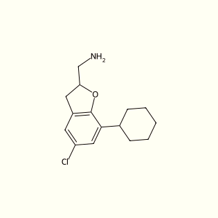 NCC1Cc2cc(Cl)cc(C3CCCCC3)c2O1